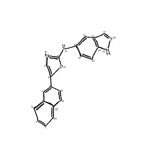 c1ccc2cc(-c3cnc(Nc4ccc5[nH]ncc5c4)o3)ccc2c1